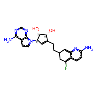 Nc1ccc2c(n1)=CC(CCC1=C[C@@H](n3ccc4c(N)ncnc43)[C@H](O)[C@@H]1O)CC=2F